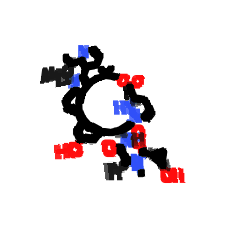 CCn1c(-c2cccnc2[C@H](C)OC)c2c3cc(ccc31)-c1cc(O)cc(c1)C[C@H](NC(=O)C(C(C)C)N(C)C(=O)[C@H]1C[C@H]1O)C(=O)N1CCC[C@H](N1)C(=O)OCC(C)(C)C2